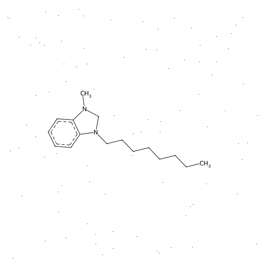 CCCCCCCCN1CN(C)c2ccccc21